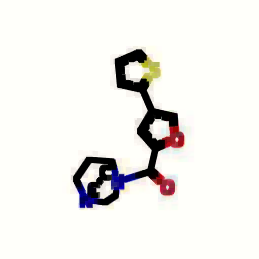 O=C(c1cc(-c2cccs2)co1)N1CCN2CCC1CC2